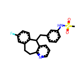 CS(=O)(=O)Nc1cccc(CC2c3ccc(F)cc3CCc3ncccc32)c1